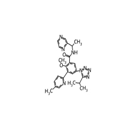 COc1c(C(=O)NC(C)c2cnccn2)cc(-n2nnnc2C(C)C)cc1-c1ccc(C)cn1